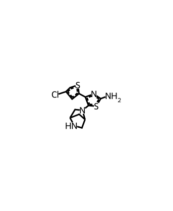 Nc1nc(-c2cc(Cl)cs2)c(N2CC3CC2CN3)s1